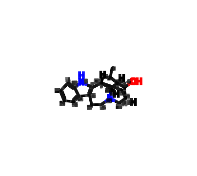 CC[C@H]1C(O)[C@@H]2C[C@H]3c4[nH]c5ccccc5c4CCN(C2)[C@H]31